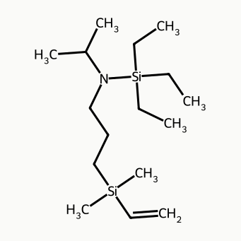 C=C[Si](C)(C)CCCN(C(C)C)[Si](CC)(CC)CC